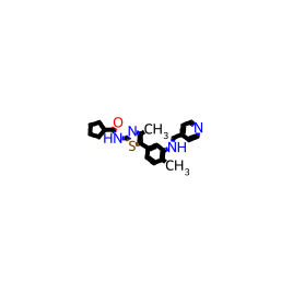 Cc1ccc(-c2sc(NC(=O)C3CCCC3)nc2C)cc1NCc1ccncc1